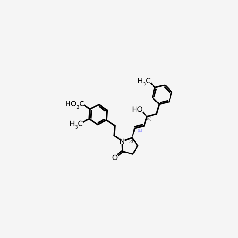 Cc1cccc(C[C@H](O)/C=C/[C@H]2CCC(=O)N2CCc2ccc(C(=O)O)c(C)c2)c1